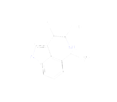 CCOC(=O)C(N)C(C)c1c[nH]c2cccc(COC)c12